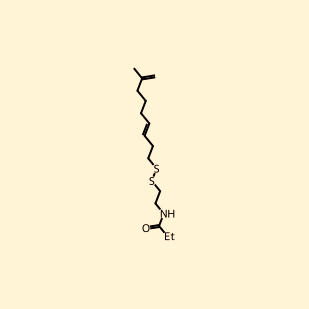 C=C(C)CCC/C=C/CCSSCCNC(=O)CC